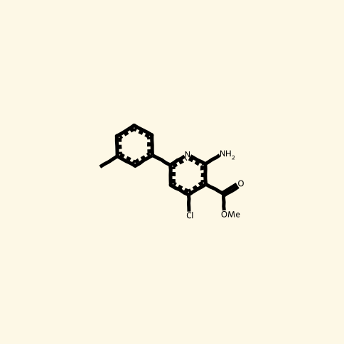 COC(=O)c1c(Cl)cc(-c2cccc(C)c2)nc1N